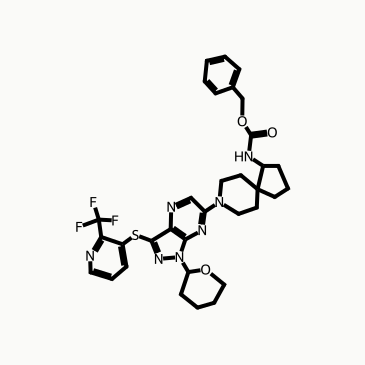 O=C(NC1CCCC12CCN(c1cnc3c(Sc4cccnc4C(F)(F)F)nn(C4CCCCO4)c3n1)CC2)OCc1ccccc1